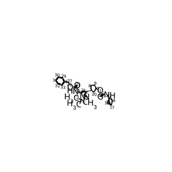 CC(C)(C)n1nc([C@H]2CC[C@@H](OC(=O)NC34CC(C3)C4)C2)cc1NC(=O)OCc1ccccc1